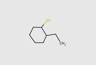 [CH2]CC1CCCCC1S